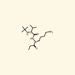 CCC(=O)[C@H](CCCCN)NC(=O)[C@@H](NC(C)(C)C)C(C)C